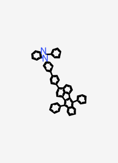 c1ccc(-c2c3c(c(-c4ccccc4)c4ccccc24)-c2ccc(-c4ccc(-c5ccc(-n6c(-c7ccccc7)nc7ccccc76)cc5)cc4)c4cccc-3c24)cc1